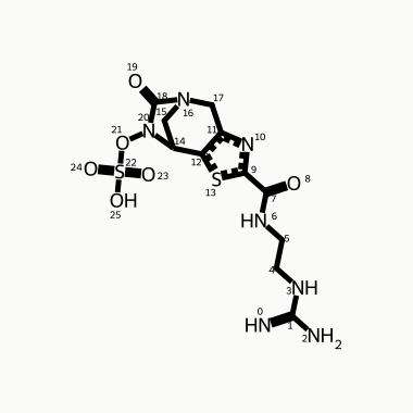 N=C(N)NCCNC(=O)c1nc2c(s1)C1CN(C2)C(=O)N1OS(=O)(=O)O